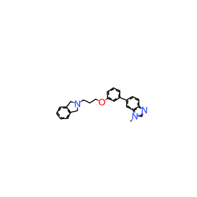 Cn1cnc2ccc(-c3cccc(OCCCN4Cc5ccccc5C4)c3)cc21